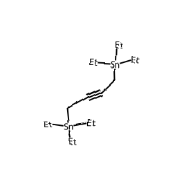 C[CH2][Sn]([CH2]C)([CH2]C)[CH2]C#C[CH2][Sn]([CH2]C)([CH2]C)[CH2]C